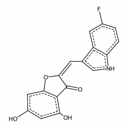 O=C1C(=Cc2c[nH]c3ccc(F)cc23)Oc2cc(O)cc(O)c21